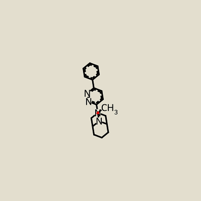 CCN1C2CCCC1CN(c1ccc(-c3ccccc3)nn1)C2